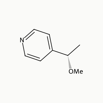 CO[C@@H](C)c1ccncc1